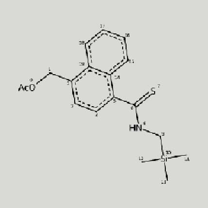 CC(=O)OCc1ccc(C(=S)NC[Si](C)(C)C)c2ccccc12